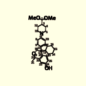 COC(OC)C1CCN(c2ccc([C@@]3(C4CCCCC4)COC(C)c4cc(O)ccc43)cc2)CC1